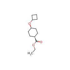 CCOC(=O)[C@H]1CC[C@@H](OC2CCC2)CC1